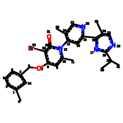 Cc1cccc(COc2cc(C)n(-c3cc(-c4nc(C(C)C)ncc4C)ncc3C)c(=O)c2Br)c1